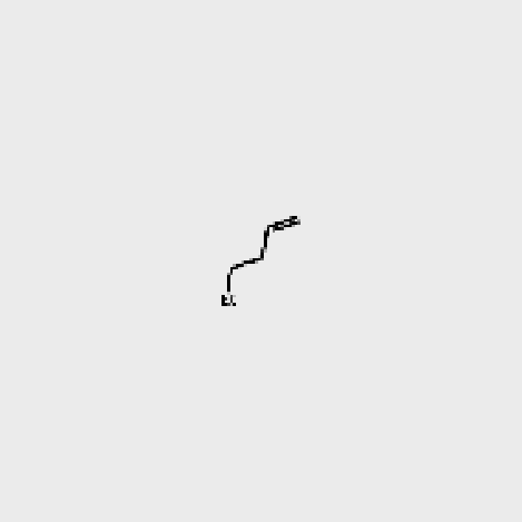 [CH]CCCC=C